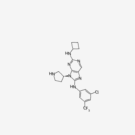 FC(F)(F)c1cc(Cl)cc(Nc2nc3cnc(NC4CCC4)nc3n2[C@H]2CCNC2)c1